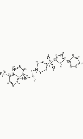 C[C@@H](CN1CCN(S(=O)(=O)c2cnc(-c3ccccc3)s2)CC1)Nc1ncnc2c(C(F)(F)F)cccc12